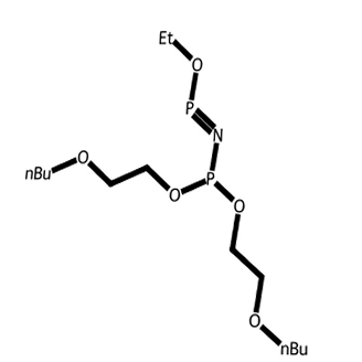 CCCCOCCOP(N=POCC)OCCOCCCC